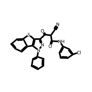 N#CC(C(=O)Nc1cccc(Cl)c1)C(=O)c1nn(-c2ccccc2)c2c1sc1ccccc12